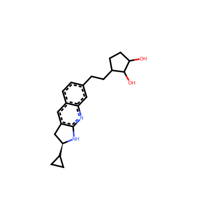 OC1CCC(CCc2ccc3cc4c(nc3c2)N[C@@H](C2CC2)C4)C1O